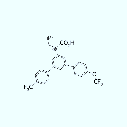 CC(C)C[C@H](C(=O)O)c1cc(-c2ccc(OC(F)(F)F)cc2)cc(-c2ccc(C(F)(F)F)cc2)c1